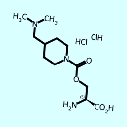 CN(C)CC1CCN(C(=O)OC[C@H](N)C(=O)O)CC1.Cl.Cl